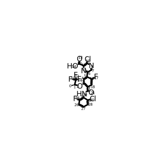 C[C@H](Oc1cc(-c2cnc(Cl)c(C(=O)O)n2)c(F)cc1C(=O)Nc1c(F)cccc1Cl)C(F)(F)F